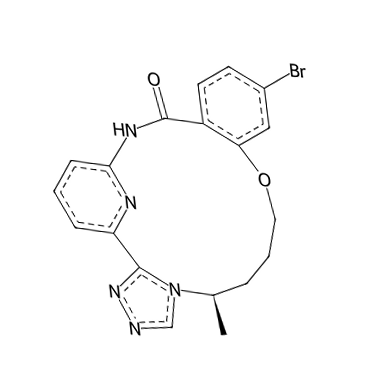 C[C@@H]1CCCOc2cc(Br)ccc2C(=O)Nc2cccc(n2)-c2nncn21